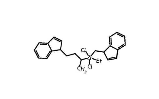 C[CH2][Zr]([Cl])([Cl])([CH2]C1C=Cc2ccccc21)[CH](C)CCC1C=Cc2ccccc21